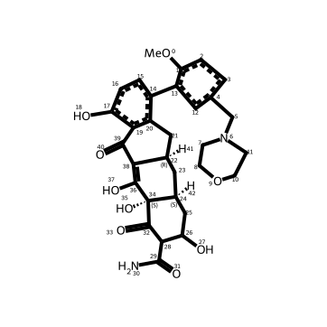 COc1ccc(CN2CCOCC2)cc1-c1ccc(O)c2c1C[C@H]1C[C@H]3CC(O)C(C(N)=O)C(=O)[C@@]3(O)C(O)=C1C2=O